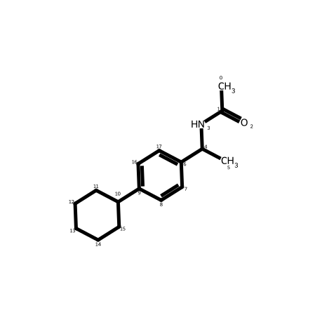 CC(=O)NC(C)c1ccc(C2CCCCC2)cc1